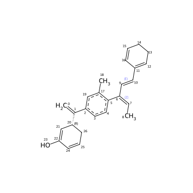 C=C(c1ccc(C(=C\C)/C=C/C2=CCCC=C2)c(C)c1)[C@H]1C=C(O)C=CC1